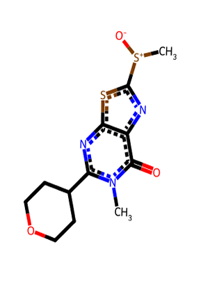 Cn1c(C2CCOCC2)nc2sc([S+](C)[O-])nc2c1=O